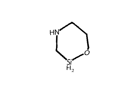 C1CO[SiH2]CN1